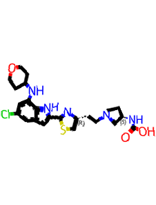 O=C(O)N[C@H]1CCN(CC[C@@H]2CSC(c3cc4cc(Cl)cc(NC5CCOCC5)c4[nH]3)=N2)C1